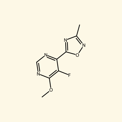 COc1ncnc(-c2nc(C)no2)c1F